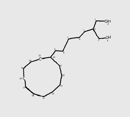 OCC(CO)CCCCCC1CCCCCCCCCCC1